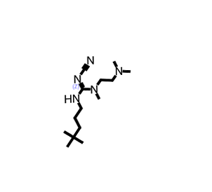 CN(C)CCN(C)/C(=N\C#N)NCCCC(C)(C)C